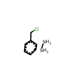 ClCc1ccccc1.[SiH3][SiH3]